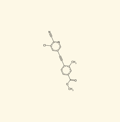 COC(=O)c1ccc(C#Cc2cnc(C#N)c(Cl)c2)c(C)c1